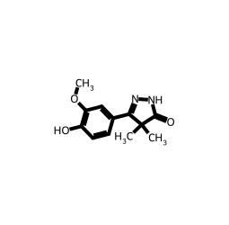 COc1cc(C2=NNC(=O)C2(C)C)ccc1O